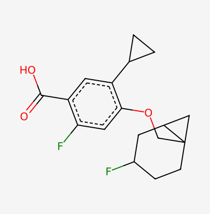 O=C(O)c1cc(C2CC2)c(OCC23CCC(F)CC2C3)cc1F